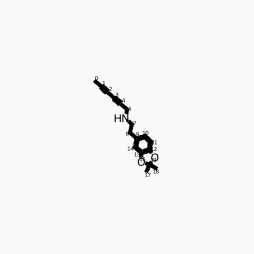 CC#CC#CCNCCc1ccc2c(c1)OC(C)(C)O2